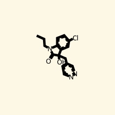 CCCN1C(=O)C(O)(Cc2ccnnc2)c2cc(Cl)ccc21